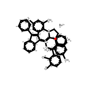 Cc1cc(C)c(N2CCN(c3c(C)cc(C)cc3C)C2=P(OC(c2ccccc2)c2cccc(Cl)c2Cl)=C2C=C(c3ccccc3)c3ccccc32)c(C)c1.[Ru+2]